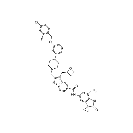 Cc1cc(NC(=O)c2ccc3nc(CN4CC=C(c5cccc(OCc6ccc(Cl)cc6F)n5)CC4)n(C[C@@H]4CCO4)c3c2)cc2c1NC(=O)C21CC1